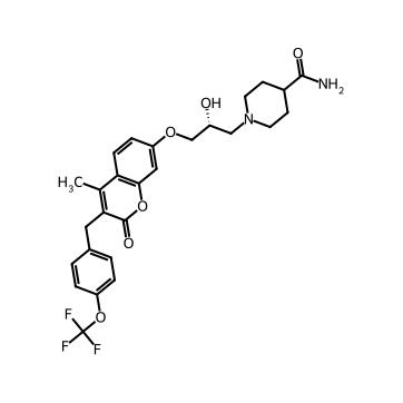 Cc1c(Cc2ccc(OC(F)(F)F)cc2)c(=O)oc2cc(OC[C@H](O)CN3CCC(C(N)=O)CC3)ccc12